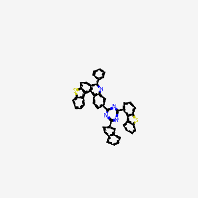 c1ccc(-c2nc3cc(-c4nc(-c5ccc6ccccc6c5)nc(-c5cccc6sc7ccccc7c56)n4)ccc3c3c2ccc2sc4ccccc4c23)cc1